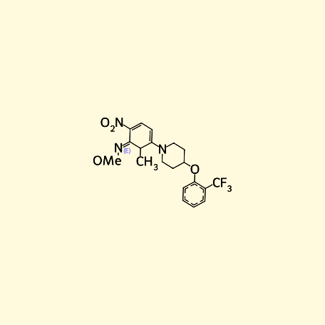 CO/N=C1/C([N+](=O)[O-])=CC=C(N2CCC(Oc3ccccc3C(F)(F)F)CC2)C1C